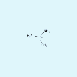 C[C@@H](N)P